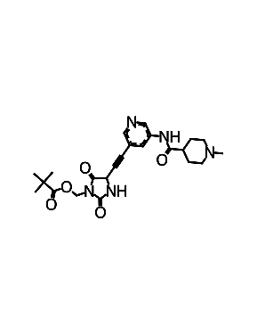 CN1CCC(C(=O)Nc2cncc(C#CC3NC(=O)N(COC(=O)C(C)(C)C)C3=O)c2)CC1